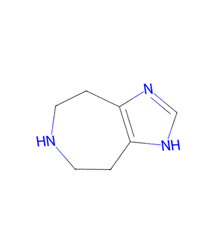 c1nc2c([nH]1)CCNCC2